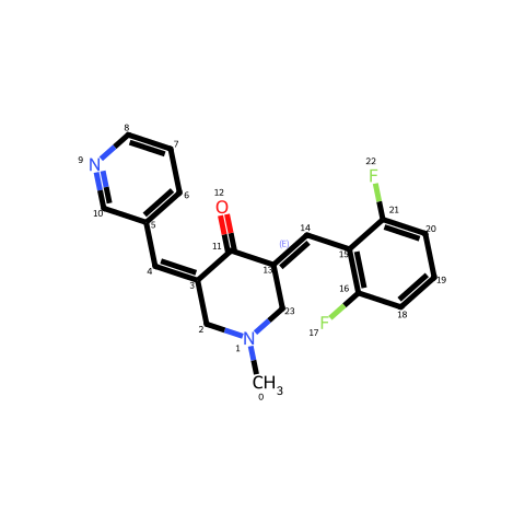 CN1CC(=Cc2cccnc2)C(=O)/C(=C/c2c(F)cccc2F)C1